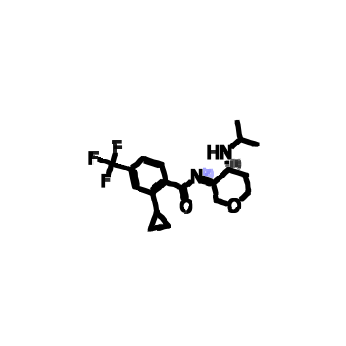 CC(C)N[C@@H]1CCOC/C1=N\C(=O)c1ccc(C(F)(F)F)cc1C1CC1